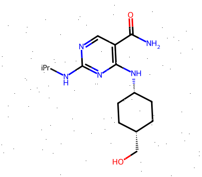 CC(C)Nc1ncc(C(N)=O)c(N[C@H]2CC[C@@H](CO)CC2)n1